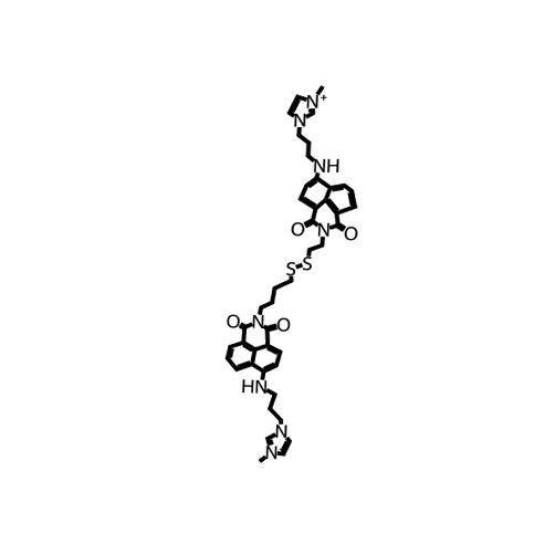 C[n+]1ccn(CCCNc2ccc3c4c(cccc24)C(=O)N(CCCCSSCCN2C(=O)c4cccc5c(NCCCn6cc[n+](C)c6)ccc(c45)C2=O)C3=O)c1